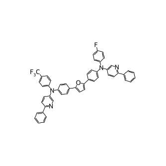 Fc1ccc(N(c2ccc(-c3ccc(-c4ccc(N(c5ccc(C(F)(F)F)cc5)c5ccc(-c6ccccc6)nc5)cc4)o3)cc2)c2ccc(-c3ccccc3)nc2)cc1